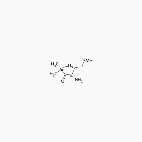 CSCC[C@H](N)C(=O)[Si](C)(C)C